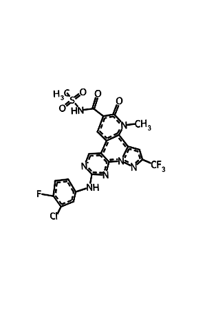 Cn1c(=O)c(C(=O)NS(C)(=O)=O)cc2c3cnc(Nc4ccc(F)c(Cl)c4)nc3n3nc(C(F)(F)F)cc3c21